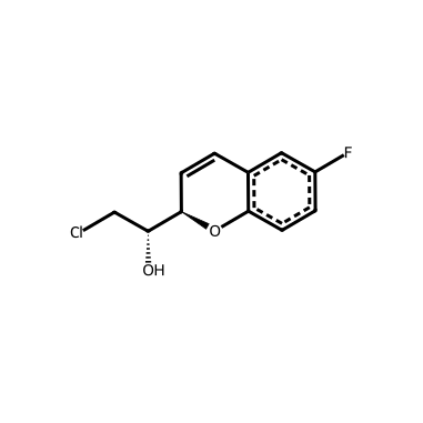 O[C@H](CCl)[C@H]1C=Cc2cc(F)ccc2O1